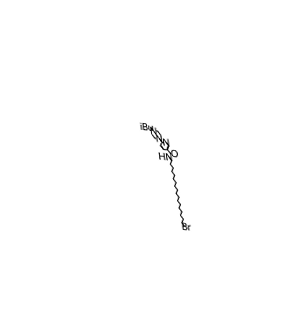 CCC(C)N1CCN(c2ccc(C(=O)NCCCCCCCCCCCCCCCCCCBr)cn2)CC1